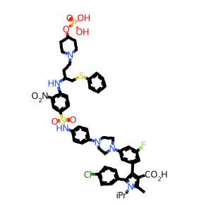 Cc1c(C(=O)O)c(-c2cc(F)cc(N3CCN(c4ccc(NS(=O)(=O)c5ccc(NC(CCN6CCC(OP(=O)(O)O)CC6)CSc6ccccc6)c([N+](=O)[O-])c5)cc4)CC3)c2)c(-c2ccc(Cl)cc2)n1C(C)C